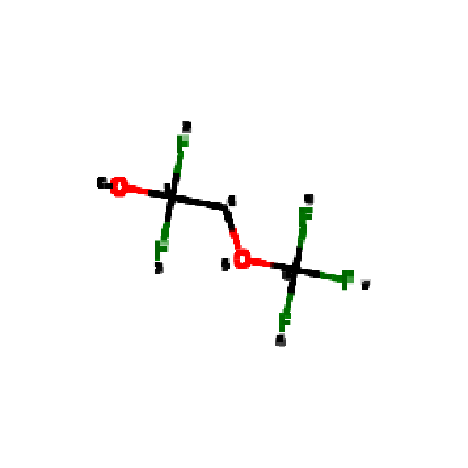 [O]C(F)(F)COC(F)(F)F